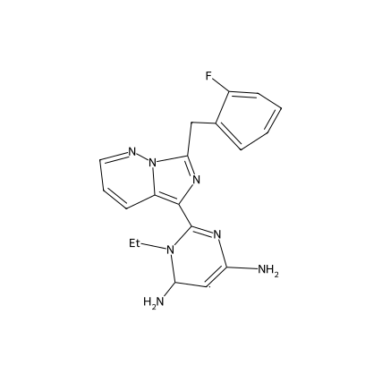 CCN1C(c2nc(Cc3ccccc3F)n3ncccc23)=NC(N)=[C]C1N